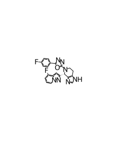 Fc1ccc(-c2nnc(N3CCc4[nH]cnc4[C@@H]3c3cc4c(F)cccn4n3)o2)cc1